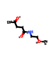 CCC(=O)CCC(=O)NCCOC(C)C